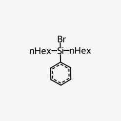 CCCCCC[Si](Br)(CCCCCC)c1ccccc1